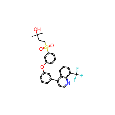 CC(C)(O)CCS(=O)(=O)c1cccc(Oc2cccc(-c3ccnc4c(C(F)(F)F)cccc34)c2)c1